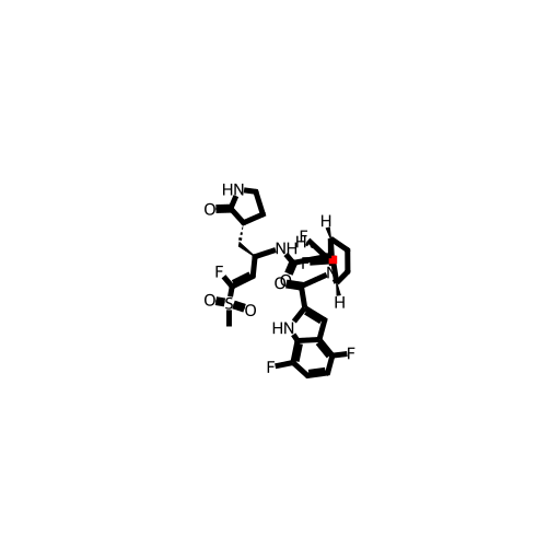 CS(=O)(=O)/C(F)=C/[C@@H](C[C@H]1CCNC1=O)NC(=O)[C@H]1[C@@H]2CC[C@@H](CC2(F)F)N1C(=O)c1cc2c(F)ccc(F)c2[nH]1